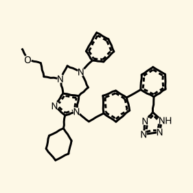 COCCN1CN(c2ccccc2)Cc2c1nc(C1CCCCC1)n2Cc1ccc(-c2ccccc2-c2nnn[nH]2)cc1